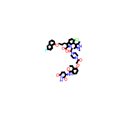 CCc1c(OCC(=O)N2CCN(CCn3c(C(=O)O)c(CCCOc4cccc5cc(F)ccc45)c4ccc(Cl)c(-c5c(C)nn(C)c5C)c43)CC2)cccc1C(=O)NC1CCC(=O)NC1=O